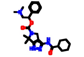 CN(C)CC(OC(=O)N1Cc2c(NC(=O)C3CCCCC3)n[nH]c2C1(C)C)c1ccccc1